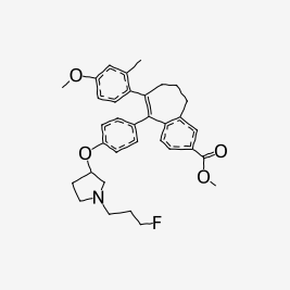 COC(=O)c1ccc2c(c1)CCCC(c1ccc(OC)cc1C)=C2c1ccc(OC2CCN(CCCF)C2)cc1